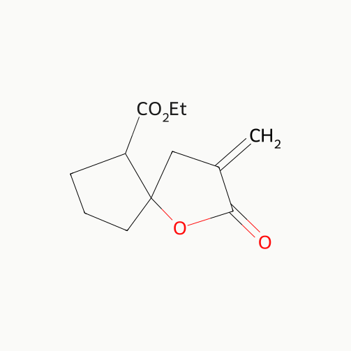 C=C1CC2(CCCC2C(=O)OCC)OC1=O